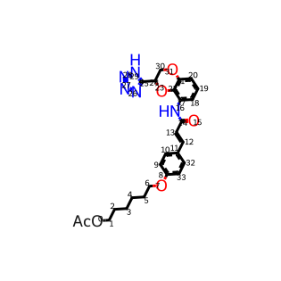 CC(=O)OCCCCCCOc1ccc(C=CC(=O)Nc2cccc3c2OC(c2nnn[nH]2)CO3)cc1